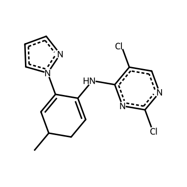 CC1C=C(n2cccn2)C(Nc2nc(Cl)ncc2Cl)=CC1